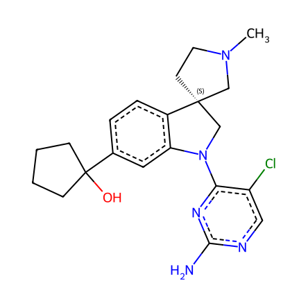 CN1CC[C@]2(C1)CN(c1nc(N)ncc1Cl)c1cc(C3(O)CCCC3)ccc12